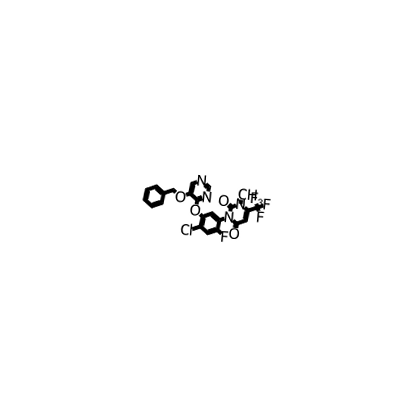 Cn1c(C(F)(F)F)cc(=O)n(-c2cc(Oc3ncncc3OCc3ccccc3)c(Cl)cc2F)c1=O